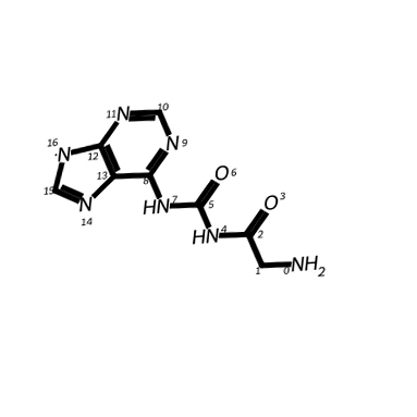 NCC(=O)NC(=O)Nc1ncnc2c1N=C[N]2